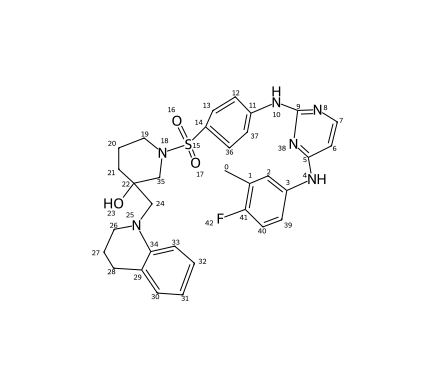 Cc1cc(Nc2ccnc(Nc3ccc(S(=O)(=O)N4CCCC(O)(CN5CCCc6ccccc65)C4)cc3)n2)ccc1F